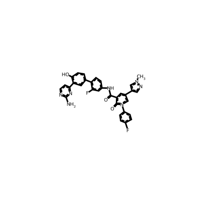 Cn1cc(-c2cc(C(=O)Nc3ccc(-c4ccc(O)c(-c5ccnc(N)n5)c4)c(F)c3)c(=O)n(-c3ccc(F)cc3)c2)cn1